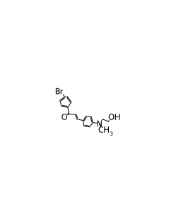 CN(CCO)c1ccc(/C=C/C(=O)c2ccc(Br)cc2)cc1